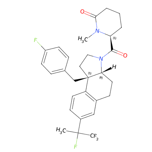 CN1C(=O)CCC[C@H]1C(=O)N1CC[C@@]2(Cc3ccc(F)cc3)c3ccc(C(C)(F)C(F)(F)F)cc3CC[C@@H]12